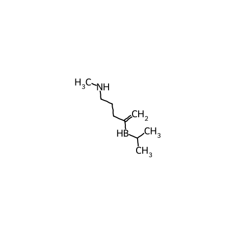 C=C(BC(C)C)CCCNC